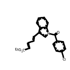 CCOC(=O)C=CC=Cc1cn(C(=O)c2ccc(Cl)cc2)c2ccccc12